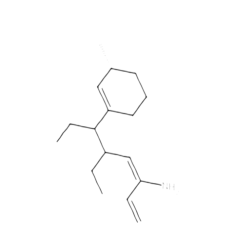 C=C/C(N)=C\C(CC)C(CC)C1=C[C@H](C)CCC1